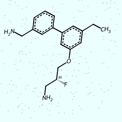 CCc1cc(OC[C@H](F)CN)cc(-c2cccc(CN)c2)c1